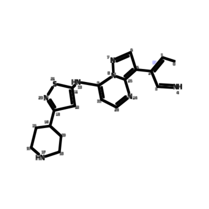 C/C=C(\C=N)c1cnn2c(Nc3cc(C4CCNCC4)ns3)ccnc12